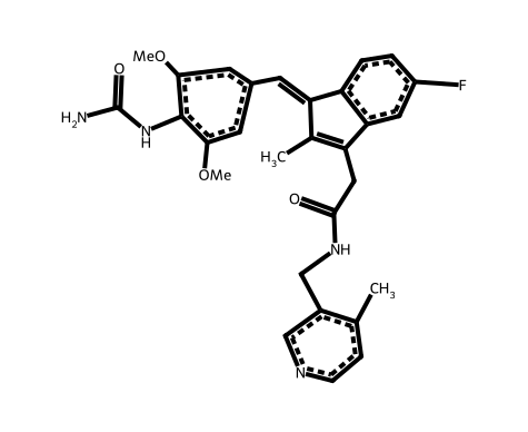 COc1cc(C=C2C(C)=C(CC(=O)NCc3cnccc3C)c3cc(F)ccc32)cc(OC)c1NC(N)=O